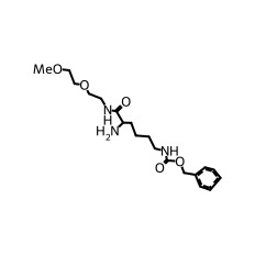 COCCOCCNC(=O)C(N)CCCCNC(=O)OCc1ccccc1